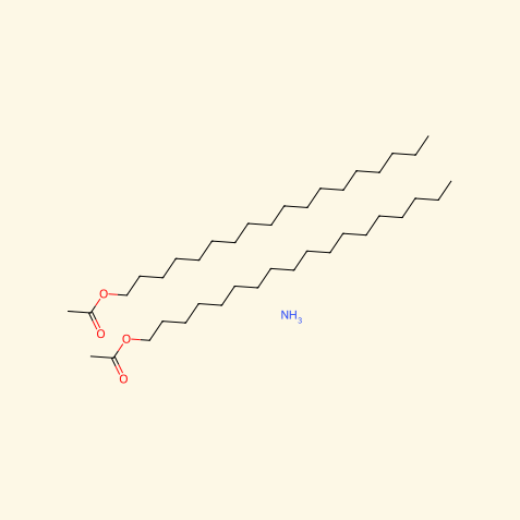 CCCCCCCCCCCCCCCCCCOC(C)=O.CCCCCCCCCCCCCCCCCCOC(C)=O.N